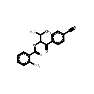 Cc1ccccc1C(=O)NC(C(=O)c1ccc(C#N)cc1)C(C)C